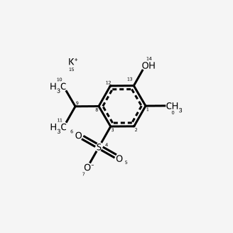 Cc1cc(S(=O)(=O)[O-])c(C(C)C)cc1O.[K+]